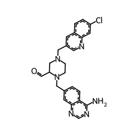 Nc1ncnc2cc(CN3CCN(Cc4cnc5cc(Cl)ccc5c4)CC3C=O)ccc12